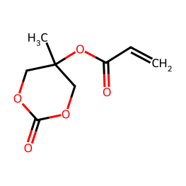 C=CC(=O)OC1(C)COC(=O)OC1